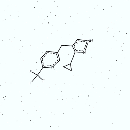 FC(F)(F)c1ccc(Cc2c[nH]nc2C2CC2)cn1